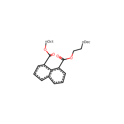 CCCCCCCCCCCCOC(=O)c1cccc2cccc(C(=O)OCCCCCCCC)c12